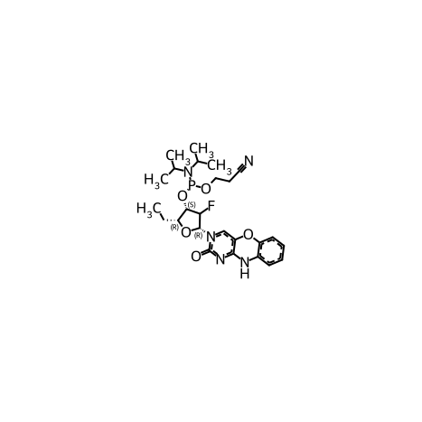 CC[C@H]1O[C@@H](n2cc3c(nc2=O)Nc2ccccc2O3)C(F)[C@H]1OP(OCCC#N)N(C(C)C)C(C)C